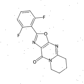 O=c1c2nc(-c3c(F)cccc3F)oc2nc2n1CCCC2